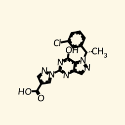 C[C@@H](c1cccc(Cl)c1)n1ncc2nc(-n3cc(C(=O)O)cn3)nc(O)c21